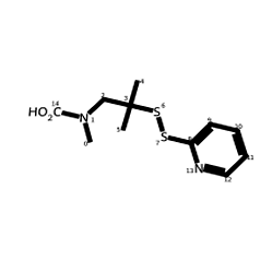 CN(CC(C)(C)SSc1ccccn1)C(=O)O